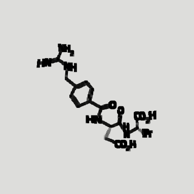 CC(C)[C@H](NC(=O)[C@H](CC(=O)O)NC(=O)c1ccc(CNC(=N)N)cc1)C(=O)O